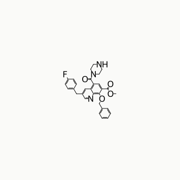 COC(=O)c1cc(C(=O)N2CCNCC2)c2cc(Cc3ccc(F)cc3)cnc2c1OCc1ccccc1